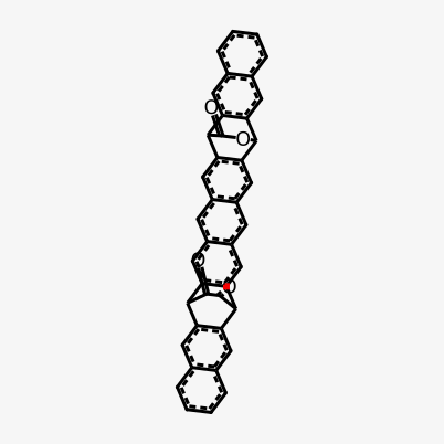 O=C1OC2c3cc4ccccc4cc3C1c1cc3cc4cc5c(cc4cc3cc12)C1C(=O)C(=O)C5c2cc3ccccc3cc21